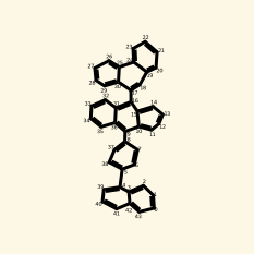 c1ccc2c(-c3ccc(-c4c5ccccc5c(-c5cc6ccccc6c6ccccc56)c5ccccc45)cc3)cccc2c1